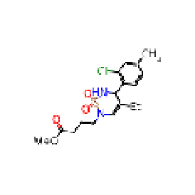 CCC1=CN(CCCC(=O)OC)S(=O)(=O)NC1c1ccc(C)cc1Cl